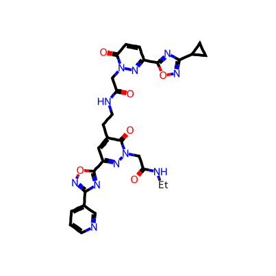 CCNC(=O)Cn1nc(-c2nc(-c3cccnc3)no2)cc(CCNC(=O)Cn2nc(-c3nc(C4CC4)no3)ccc2=O)c1=O